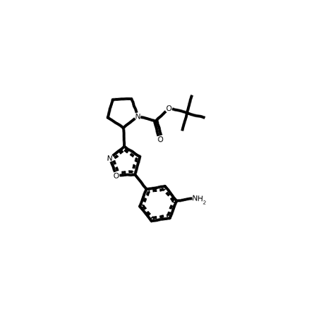 CC(C)(C)OC(=O)N1CCCC1c1cc(-c2cccc(N)c2)on1